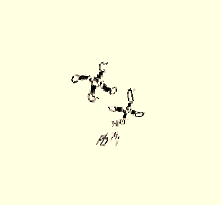 [Ni+2].[O]=[W](=[O])([O-])[O-].[O]=[W](=[O])([O-])[O-].[Pb+2]